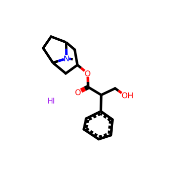 CN1C2CCC1CC(OC(=O)C(CO)c1ccccc1)C2.I